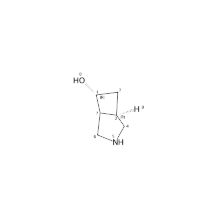 O[C@@H]1C[C@H]2CNCC21